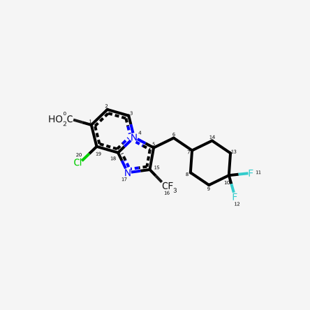 O=C(O)c1ccn2c(CC3CCC(F)(F)CC3)c(C(F)(F)F)nc2c1Cl